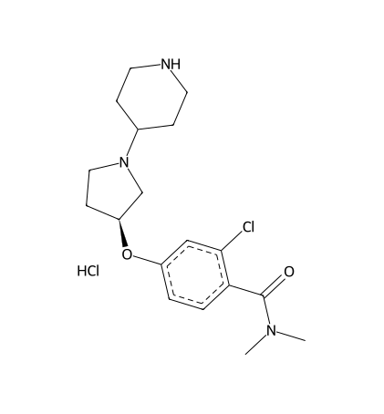 CN(C)C(=O)c1ccc(O[C@H]2CCN(C3CCNCC3)C2)cc1Cl.Cl